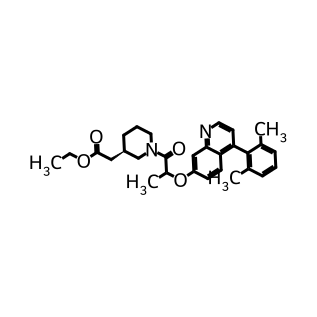 CCOC(=O)C[C@H]1CCCN(C(=O)C(C)Oc2ccc3c(-c4c(C)cccc4C)ccnc3c2)C1